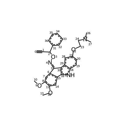 C#CC(O/N=C1/c2cc(OC)c(OC)cc2-c2[nH]c3ccc(OCCN(C)C)cc3c21)c1ccccc1